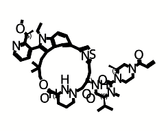 C=CC(=O)N1CCN(C(=O)N(C)[C@H](C(=O)N[C@H]2Cc3nc(cs3)-c3ccc4c(c3)c(c(-c3cccnc3[C@H](C)OC)n4CC)CC(C)(C)COC(=O)[C@@H]3CCCN(N3)C2=O)C(C)C)[C@@H](C)C1